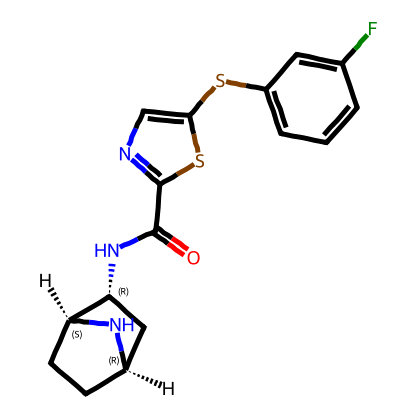 O=C(N[C@@H]1C[C@H]2CC[C@@H]1N2)c1ncc(Sc2cccc(F)c2)s1